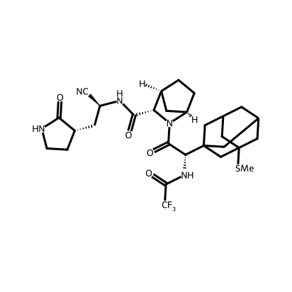 CSC12CC3CC(C1)CC([C@H](NC(=O)C(F)(F)F)C(=O)N1[C@@H]4CC[C@@H](C4)[C@H]1C(=O)N[C@H](C#N)C[C@@H]1CCNC1=O)(C3)C2